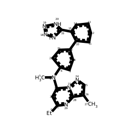 CCc1cc(N(C)c2ccc(-c3ccccc3-c3nnn[nH]3)cc2)n2ncc(C)c2n1